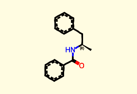 C[C@H](Cc1ccccc1)NC(=O)c1ccccc1